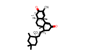 CCOC(=O)[C@]1(CC[C@]2(C)CC(=O)C=C3[C@@]4(C)C=C(C#N)C(=O)[C@@H](C)[C@@H]4CC[C@]32C)CCC(C)(C)CC1C